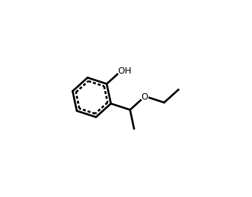 CCOC(C)c1ccccc1O